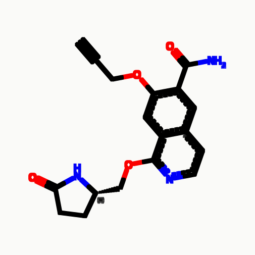 C#CCOc1cc2c(OC[C@@H]3CCC(=O)N3)nccc2cc1C(N)=O